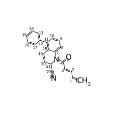 C=C/C=C/C(=O)N1c2cccc(-c3ccccc3)c2C=CC1C#N